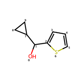 OC(c1cccs1)C1CC1